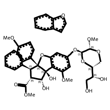 COC(=O)[C@H]1[C@@H](O)[C@@]2(O)c3c(OC)cc(O[C@@H]4O[C@@H]([C@H](O)CO)CO[C@H]4OC)cc3O[C@@]2(c2ccc(OC)cc2)[C@@H]1c1ccccc1.c1ccc2occc2c1